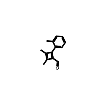 CC1=C(C)C(c2ccccc2C)=C1C=O